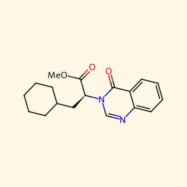 COC(=O)[C@H](CC1CCCCC1)n1cnc2ccccc2c1=O